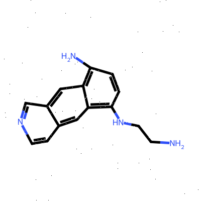 NCCNc1ccc(N)c2cc3cnccc3cc12